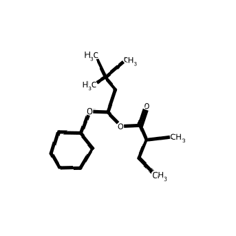 CCC(C)C(=O)OC(CC(C)(C)C)OC1CCCCC1